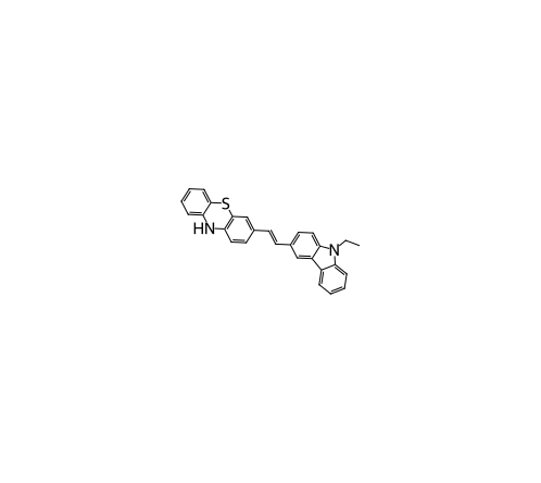 CCn1c2ccccc2c2cc(/C=C/c3ccc4c(c3)Sc3ccccc3N4)ccc21